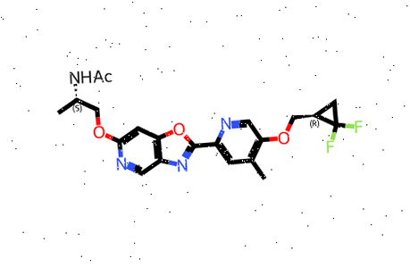 CC(=O)N[C@@H](C)COc1cc2oc(-c3cc(C)c(OC[C@H]4CC4(F)F)cn3)nc2cn1